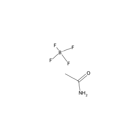 CC(N)=O.F[B-](F)(F)F